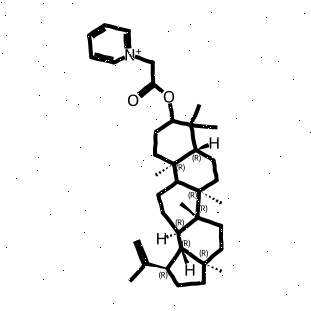 C=C(C)[C@@H]1CC[C@]2(C)CC[C@]3(C)[C@H](CCC4[C@@]5(C)CCC(OC(=O)C[n+]6ccccc6)C(C)(C)[C@@H]5CC[C@]43C)[C@@H]12